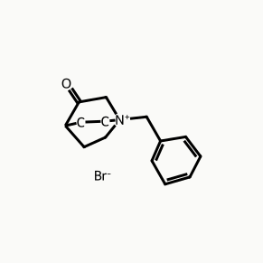 O=C1C[N+]2(Cc3ccccc3)CCC1CC2.[Br-]